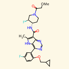 COCC(=O)N1CC[C@H](NC(=O)c2c(C)[nH]c3c(-c4cc(F)ccc4OCC4CC4)ncnc23)[C@@H](F)C1